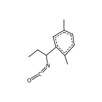 CCC(N=C=O)c1cc(C)ccc1C